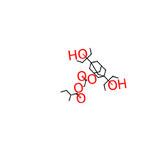 CCC(C)C(=O)OCC(=O)OC12CC3CC(C(O)(CC)CC)(C1)CC(C(O)(CC)CC)(C3)C2